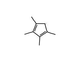 CC1=C(C)C(C)=C(C)[C]1